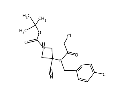 CC(C)(C)OC(=O)[SiH]1CC(C#N)(N(Cc2ccc(Cl)cc2)C(=O)CCl)C1